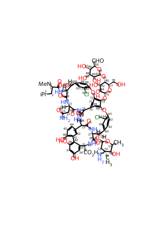 CN[C@H](CC(C)C)C(=O)N[C@H]1C(=O)N[C@@H](CC(N)=O)C(=O)N[C@H]2C(=O)N[C@H]3C(=O)N[C@H](C(=O)N[C@@H](C(=O)O)c4cc(O)cc(O)c4-c4cc3ccc4O)[C@H](OC3C[C@](C)(N)[C@@H](O)[C@H](C)O3)c3ccc(c(Cl)c3)Oc3cc2cc(c3O[C@@H]2O[C@H](CO)[C@@H](O[C@@H]3O[C@H](C=O)[C@H](O)[C@H](O)[C@H]3O)[C@H](O)[C@H]2O)Oc2ccc(cc2Cl)[C@H]1O